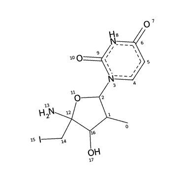 CC1C(n2ccc(=O)[nH]c2=O)OC(N)(CI)C1O